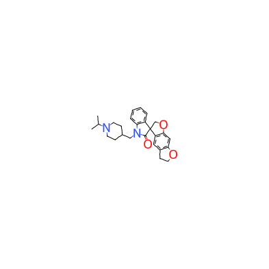 CC(C)N1CCC(CN2C(=O)C3(COc4cc5c(cc43)CCO5)c3ccccc32)CC1